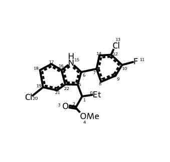 CCC(C(=O)OC)c1c(-c2ccc(F)c(Cl)c2)[nH]c2ccc(Cl)cc12